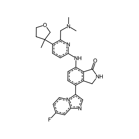 CN(C)Cc1nc(Nc2ccc(-c3cnc4cc(F)ccn34)c3c2C(=O)NC3)ccc1C1(C)CCOC1